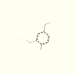 ClCc1ccc(Cl)c(CBr)c1